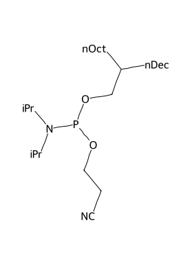 CCCCCCCCCCC(CCCCCCCC)COP(OCCC#N)N(C(C)C)C(C)C